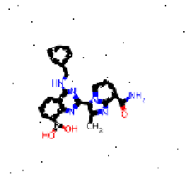 Cc1nc2c(C(N)=O)cccn2c1-c1nc(NCc2ccccc2)c2cccc(B(O)O)c2n1